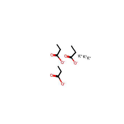 CCC(=O)[O-].CCC(=O)[O-].CCC(=O)[O-].[K+].[K+].[K+]